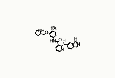 CC(C)(C)c1ccc(NC(=O)c2cccnc2Nc2ccc3cn[nH]c3c2)cc1OCC1CCCN1